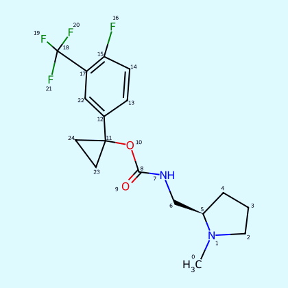 CN1CCC[C@@H]1CNC(=O)OC1(c2ccc(F)c(C(F)(F)F)c2)CC1